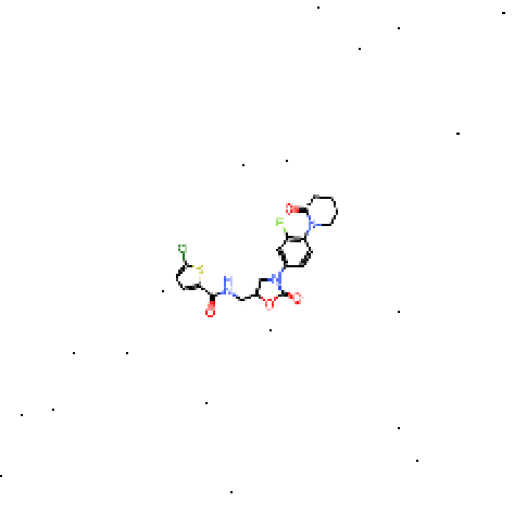 O=C(NCC1CN(c2ccc(N3CCCCC3=O)c(F)c2)C(=O)O1)c1ccc(Cl)s1